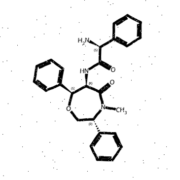 CN1C(=O)[C@H](NC(=O)[C@@H](N)c2ccccc2)[C@H](c2ccccc2)OC[C@H]1c1ccccc1